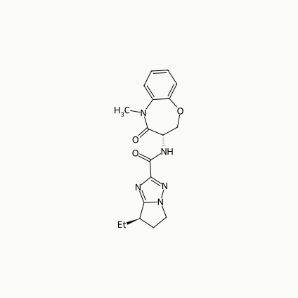 CC[C@@H]1CCn2nc(C(=O)N[C@H]3COc4ccccc4N(C)C3=O)nc21